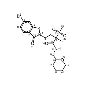 CC(CCN1Cc2cc(Br)ccc2C1=O)(C(=O)NOC1CCCCO1)S(C)(=O)=O